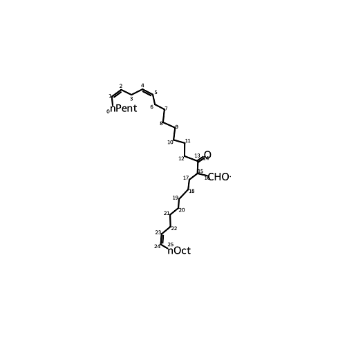 CCCCC/C=C\C/C=C\CCCCCCCC(=O)C([C]=O)CCCCCC/C=C\CCCCCCCC